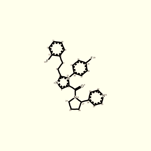 O=C(c1cnc(CCc2ccccc2F)n1-c1ccc(F)cc1)N1CCCC1c1ccncc1